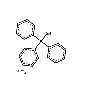 SC(c1ccccc1)(c1ccccc1)c1ccccc1.[BeH2]